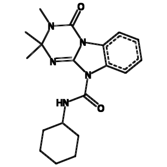 CN1C(=O)N2C(=NC1(C)C)N(C(=O)NC1CCCCC1)c1ccccc12